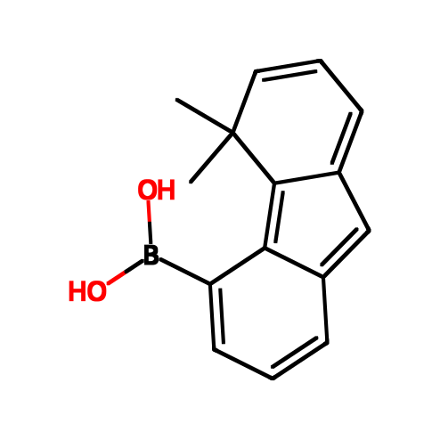 CC1(C)C=CC=C2C=c3cccc(B(O)O)c3=C21